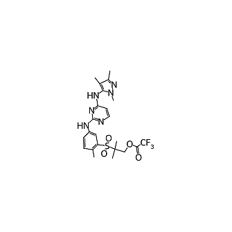 Cc1ccc(Nc2nccc(Nc3c(C)c(C)nn3C)n2)cc1S(=O)(=O)C(C)(C)COC(=O)C(F)(F)F